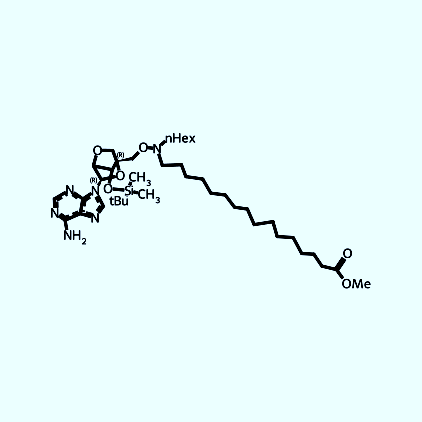 CCCCCCN(CCCCCCCCCCCCCCCC(=O)OC)OC[C@]12COC(C1O[Si](C)(C)C(C)(C)C)[C@H](n1cnc3c(N)ncnc31)O2